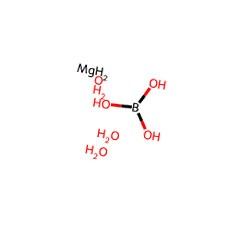 O.O.O.OB(O)O.[MgH2]